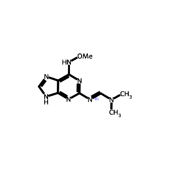 CONc1nc(/N=C/N(C)C)nc2[nH]cnc12